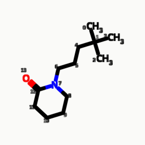 CC(C)(C)CCCN1CCCCC1=O